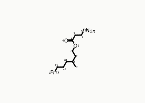 CCCCCCCCCCCC(=O)OCCC(C)CCCC(C)C